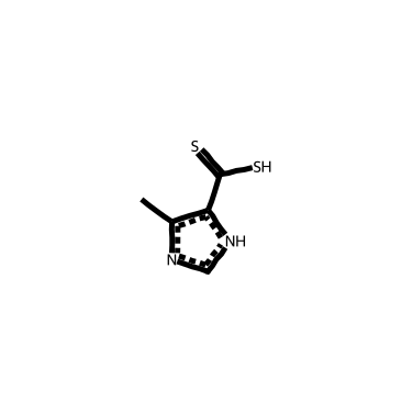 Cc1nc[nH]c1C(=S)S